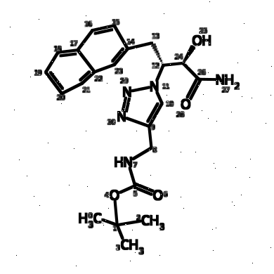 CC(C)(C)OC(=O)NCc1cn([C@H](Cc2ccc3ccccc3c2)[C@@H](O)C(N)=O)nn1